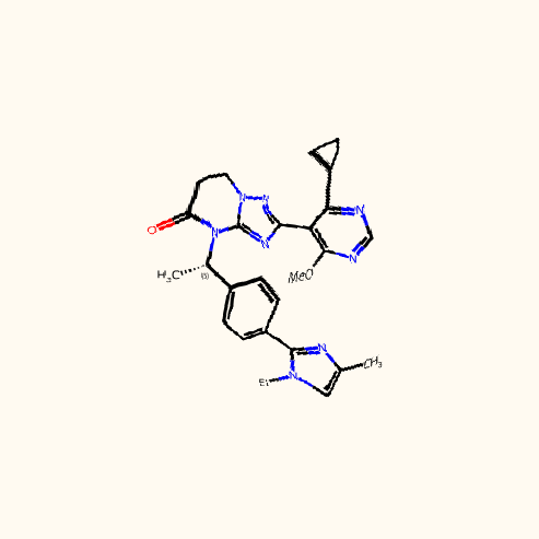 CCn1cc(C)nc1-c1ccc([C@H](C)N2C(=O)CCn3nc(-c4c(OC)ncnc4C4CC4)nc32)cc1